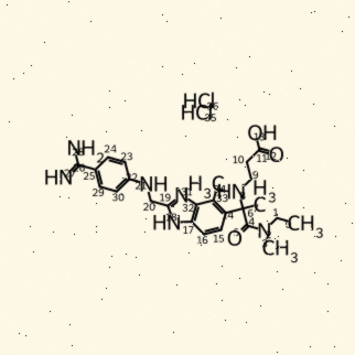 CCN(C)C(=O)C(C)(NCCC(=O)O)c1ccc2[nH]c(CNc3ccc(C(=N)N)cc3)nc2c1C.Cl.Cl